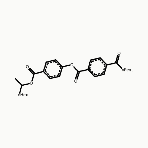 CCCCCCC(C)OC(=O)c1ccc(OC(=O)c2ccc(C(=O)CCCCC)cc2)cc1